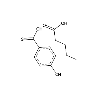 CCCCC(=O)O.N#Cc1ccc(C(O)=S)cc1